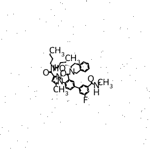 CCCCN(CCCC)C(=O)c1cc(C)n(-c2ccc(-c3cc(F)cc(C(=O)NC)c3)cc2C(=O)N2Cc3ccccc3C[C@H]2CO)n1